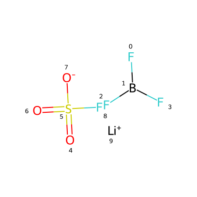 FB(F)F.O=S(=O)([O-])F.[Li+]